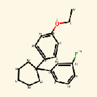 CCOc1ccc(C2(c3cccc(F)c3)CCCCC2)cc1